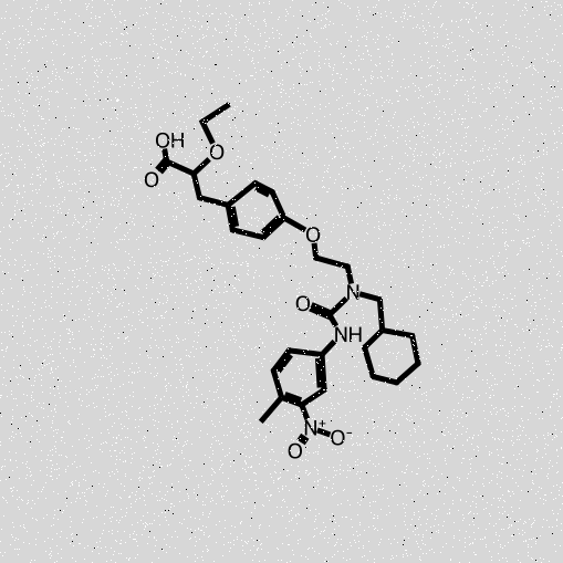 CCOC(Cc1ccc(OCCN(CC2CCCCC2)C(=O)Nc2ccc(C)c([N+](=O)[O-])c2)cc1)C(=O)O